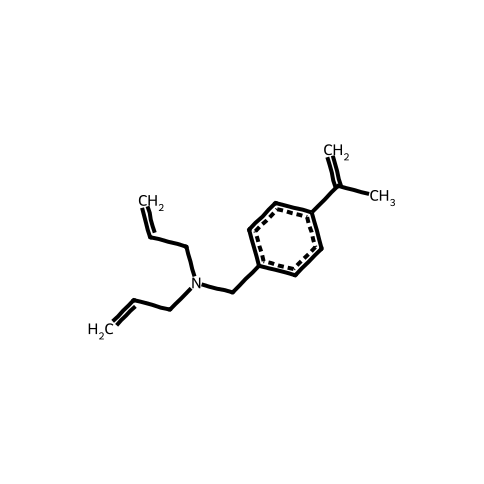 C=CCN(CC=C)Cc1ccc(C(=C)C)cc1